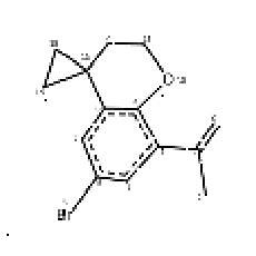 C=C(C)c1cc(Br)cc2c1OCCC21CC1